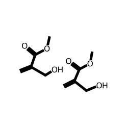 C=C(CO)C(=O)OC.C=C(CO)C(=O)OC